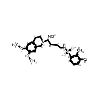 COc1cc2c(cc1OC)CN(CCCCNS(=O)(=O)c1cccc(Cl)c1C)CC2.Cl